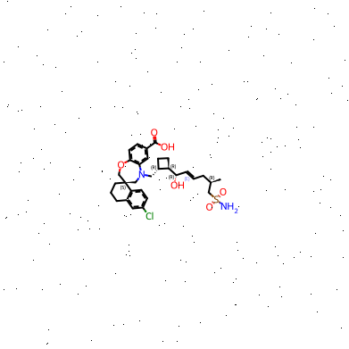 C[C@H](C/C=C/[C@H](O)[C@@H]1CC[C@H]1CN1C[C@@]2(CCCc3cc(Cl)ccc32)COc2ccc(C(=O)O)cc21)CS(N)(=O)=O